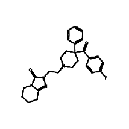 O=C(c1ccc(F)cc1)C1(c2ccccc2)CCN(CCn2nc3n(c2=O)CCCC3)CC1